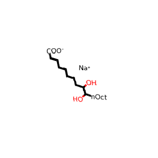 CCCCCCCCC(O)C(O)CCCCCCCC(=O)[O-].[Na+]